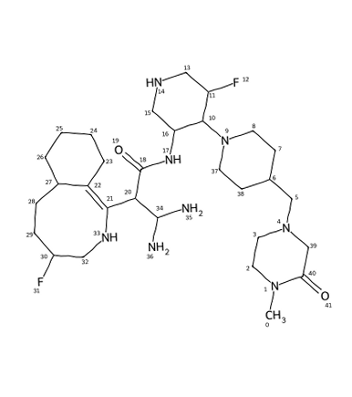 CN1CCN(CC2CCN(C3C(F)CNCC3NC(=O)C(/C3=C4\CCCCC4CCC(F)CN3)C(N)N)CC2)CC1=O